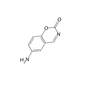 Nc1ccc2oc(=O)ncc2c1